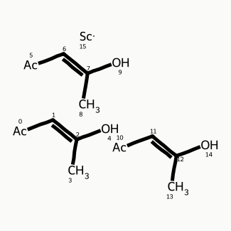 CC(=O)/C=C(\C)O.CC(=O)/C=C(\C)O.CC(=O)/C=C(\C)O.[Sc]